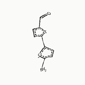 Bc1ccc(-c2ccc(C=O)s2)s1